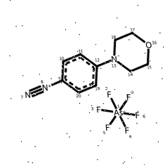 F[As-](F)(F)(F)(F)F.N#[N+]c1ccc(N2CCOCC2)cc1